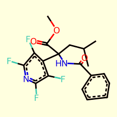 COC(=O)C(CC(C)C)(NC(=O)c1ccccc1)c1c(F)c(F)nc(F)c1F